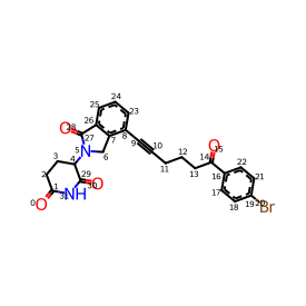 O=C1CCC(N2Cc3c(C#CCCCC(=O)c4ccc(Br)cc4)cccc3C2=O)C(=O)N1